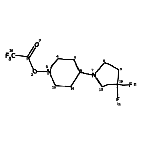 O=C(ON1CCC(N2CCC(F)(F)C2)CC1)C(F)(F)F